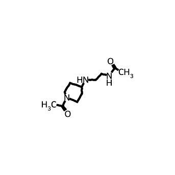 CC(=O)NCCNC1CCN(C(C)=O)CC1